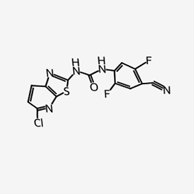 N#Cc1cc(F)c(NC(=O)Nc2nc3ccc(Cl)nc3s2)cc1F